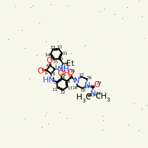 CC[C@@H](N[C@@H]1C(=O)C(=O)C1Nc1cccc(C(=O)N2CCN(C(=O)N(C)C)CC2)c1O)c1ccccc1